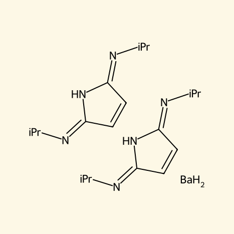 CC(C)N=C1C=CC(=NC(C)C)N1.CC(C)N=C1C=CC(=NC(C)C)N1.[BaH2]